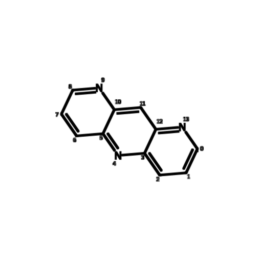 [c]1ccc2nc3cccnc3cc2n1